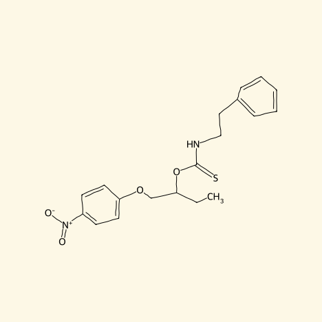 CCC(COc1ccc([N+](=O)[O-])cc1)OC(=S)NCCc1ccccc1